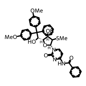 COc1ccc(C(c2ccccc2)(c2ccc(OC)cc2)C(O)[C@H]2O[C@@H](n3ccc(NC(=O)c4ccccc4)nc3=O)C(SC)[C@@H]2O)cc1